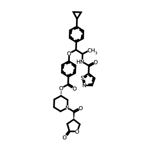 CC(NC(=O)c1ccns1)C(Oc1ccc(C(=O)O[C@H]2CCCN(C(=O)[C@H]3COC(=O)C3)C2)cc1)c1ccc(C2CC2)cc1